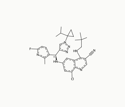 Cc1nc(F)ccc1[C@H](Nc1cc(Cl)c2ncc(C#N)c(NCC(C)(C)C)c2c1)c1cn(C2(C(C)C)CC2)nn1